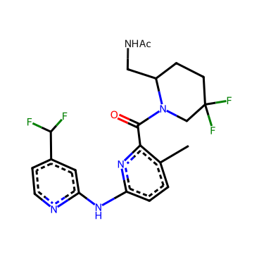 CC(=O)NCC1CCC(F)(F)CN1C(=O)c1nc(Nc2cc(C(F)F)ccn2)ccc1C